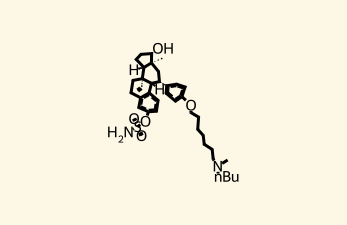 C=C[C@@]12CCc3cc(OS(N)(=O)=O)ccc3[C@H]1[C@@H](c1ccc(OCCCCCCCN(C)CCCC)cc1)C[C@@]1(C)[C@H]2CC[C@@H]1O